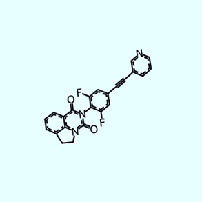 O=c1c2cccc3c2n(c(=O)n1-c1c(F)cc(C#Cc2cccnc2)cc1F)CC3